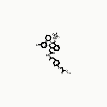 CC(Cc1ccc(OCC(=O)OC(C)(C)C)cc1)NC(=O)C[C@@H]1c2ccccc2C(=O)N([C@H]2CCCC[C@@H]2NS(C)(=O)=O)[C@H]1c1ccc(Cl)cc1Cl